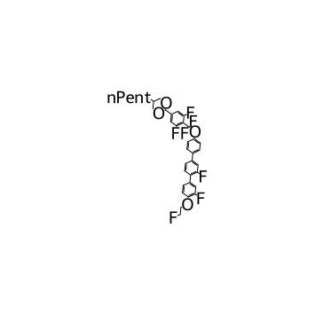 CCCCCC1COC(c2cc(F)c(C(F)(F)Oc3ccc(-c4ccc(-c5ccc(OCCF)c(F)c5)c(F)c4)cc3)c(F)c2)OC1